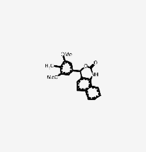 COc1cc(C2OC(=O)Nc3c2ccc2ccccc32)cc(OC)c1C